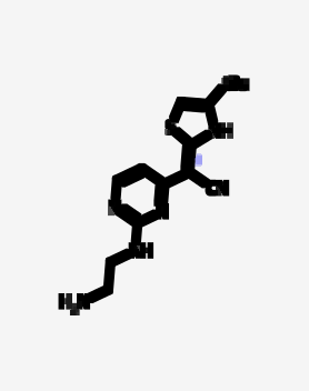 CC(C)(C)C1=CS/C(=C(/C#N)c2ccnc(NCCN)n2)N1